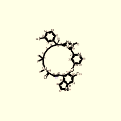 CN1CC(C)(C)CCC[C@](C)(c2cccc(I)c2)c2nc(n(C)n2)-c2cc(ccn2)Oc2c(F)cc3[nH]ccc3c2/C=C/C1=O